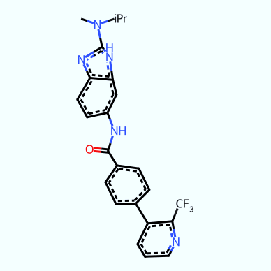 CC(C)N(C)c1nc2ccc(NC(=O)c3ccc(-c4cccnc4C(F)(F)F)cc3)cc2[nH]1